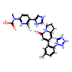 CN(C(=O)O)c1ccc(-c2cnc([C@@H]3CCc4cc(-c5cc(Cl)ccc5-n5cnnn5)cc(=O)n43)[nH]2)c(F)n1